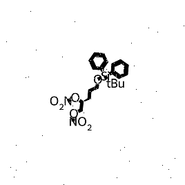 CC(C)(C)[Si](OCCC[C@@H](CO[N+](=O)[O-])O[N+](=O)[O-])(c1ccccc1)c1ccccc1